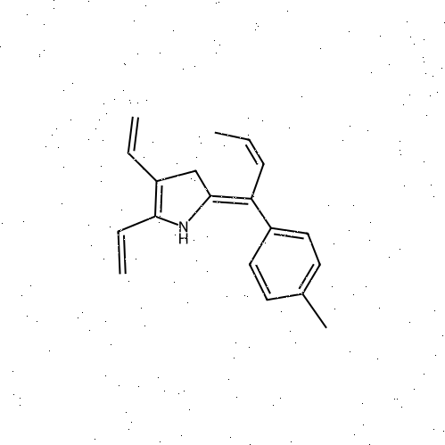 C=CC1=C(C=C)N/C(=C(/C=C\C)c2ccc(C)cc2)C1